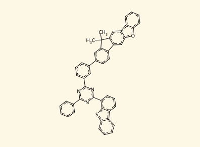 CC1(C)c2cc(-c3cccc(-c4nc(-c5ccccc5)nc(-c5cccc6c5sc5ccccc56)n4)c3)ccc2-c2cc3oc4ccccc4c3cc21